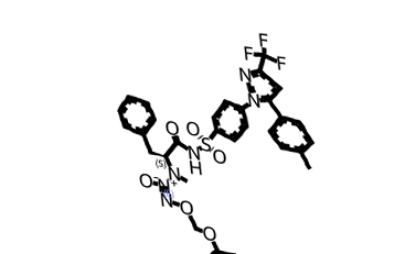 CCC(=O)OCO/N=[N+](/[O-])N(C)[C@@H](Cc1ccccc1)C(=O)NS(=O)(=O)c1ccc(-n2nc(C(F)(F)F)cc2-c2ccc(C)cc2)cc1